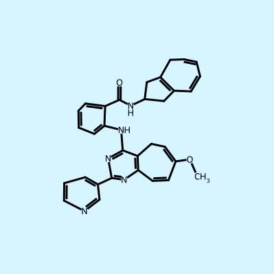 COC1=CCc2c(nc(-c3cccnc3)nc2Nc2ccccc2C(=O)NC2CC3=C(CC=CC=C3)C2)C=C1